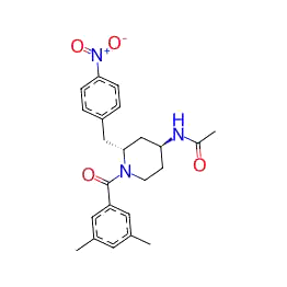 CC(=O)N[C@H]1CCN(C(=O)c2cc(C)cc(C)c2)[C@H](Cc2ccc([N+](=O)[O-])cc2)C1